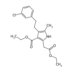 CCOC(=O)Cc1[nH]c(C)c(CCc2cccc(Cl)c2)c1C(=O)OCC